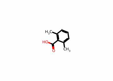 Cc1[c]ccc(C)c1C(=O)O